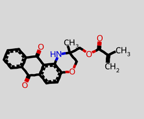 C=C(C)C(=O)OCC1(C)COc2ccc3c(c2N1)C(=O)c1ccccc1C3=O